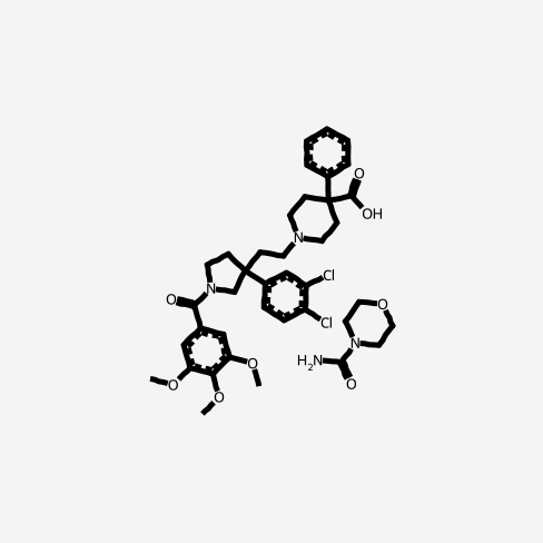 COc1cc(C(=O)N2CCC(CCN3CCC(C(=O)O)(c4ccccc4)CC3)(c3ccc(Cl)c(Cl)c3)C2)cc(OC)c1OC.NC(=O)N1CCOCC1